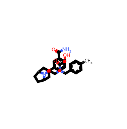 NC(=O)c1cccc(C2CC3CCC(C2)N3CCN(Cc2ccc(C(F)(F)F)cc2)C(=O)CO)c1